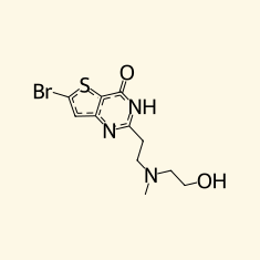 CN(CCO)CCc1nc2cc(Br)sc2c(=O)[nH]1